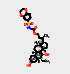 CC[C@H]1[C@@H](O)[C@@H]2[C@H](CC[C@]3(C)[C@@H]([C@H](C)CCOC(=O)NS(=O)(=O)c4ccc5c(c4)OCCO5)CC[C@@H]23)[C@@]2(C)CC[C@@H](O)C[C@@H]12